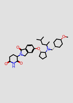 CO[C@H]1CC[C@H](CN(C(C)CC(C)C)[C@H]2CCC[C@@H]2Oc2ccc3c(c2)CN(C2CCC(=O)NC2=O)C3=O)CC1